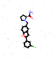 NC(=O)[C@@H]1CCCN1Cc1ccc2oc(-c3cccc(F)c3)cc2c1